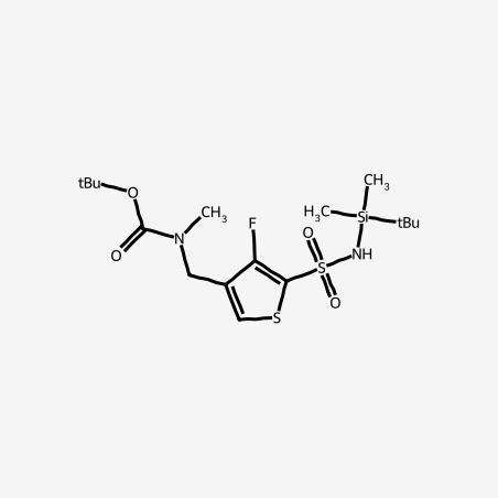 CN(Cc1csc(S(=O)(=O)N[Si](C)(C)C(C)(C)C)c1F)C(=O)OC(C)(C)C